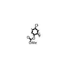 COC(=O)Oc1ccc(Cl)cc1F